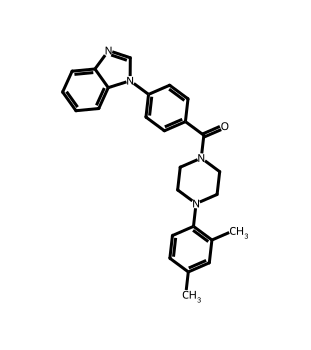 Cc1ccc(N2CCN(C(=O)c3ccc(-n4cnc5ccccc54)cc3)CC2)c(C)c1